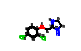 Clc1ccc(OCC2=NCCN2)c(Cl)c1